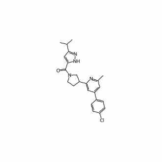 Cc1cc(-c2ccc(Cl)cc2)cc(C2CCN(C(=O)c3cc(C(C)C)n[nH]3)C2)n1